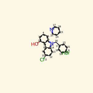 Br.Oc1cccc2c1c1cc(Cl)ccc1n2Cc1ccccc1.c1ccncc1